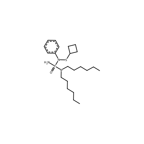 CCCCCCN(CCCCCC)P(N)(=O)N(SC1CCC1)c1ccccc1